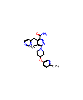 COc1ccc(OC2CCN(c3nnc(C(N)=O)c(Cc4ccncn4)c3C)CC2)cn1